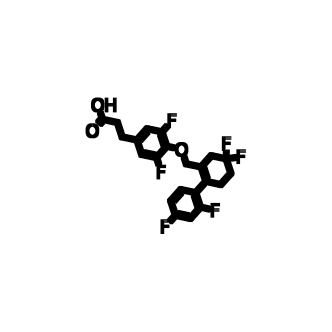 O=C(O)CCc1cc(F)c(OCC2=C(c3ccc(F)cc3F)CCC(F)(F)C2)c(F)c1